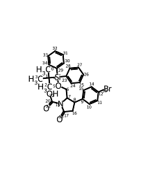 CC(C)(C)[Si](OCC1C(c2ccc(Br)cc2)CC(=O)N1C(=O)O)(c1ccccc1)c1ccccc1